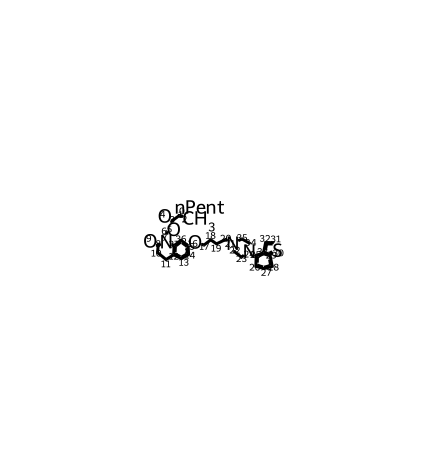 CCCCCC(C)C(=O)OCN1C(=O)CCc2ccc(OCCCCN3CCN(c4cccc5sccc45)CC3)cc21